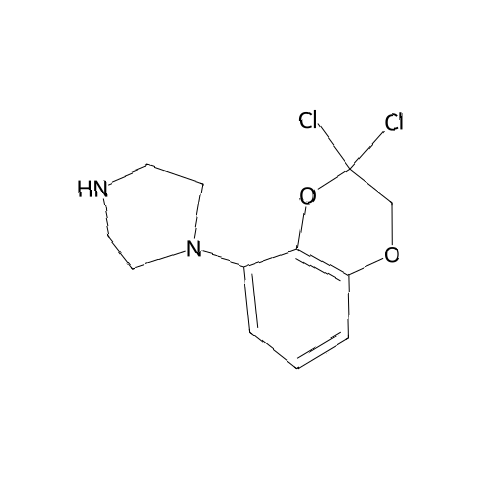 ClC1(Cl)COc2cccc(N3CCNCC3)c2O1